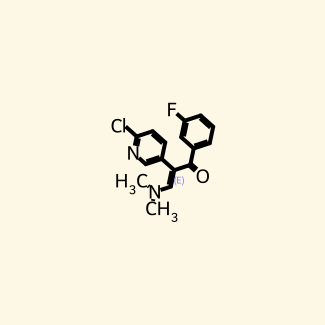 CN(C)/C=C(/C(=O)c1cccc(F)c1)c1ccc(Cl)nc1